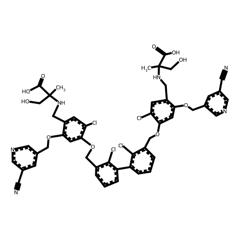 CC(CO)(NCc1cc(Cl)c(OCc2cccc(-c3cccc(COc4cc(OCc5cncc(C#N)c5)c(CNC(C)(CO)C(=O)O)cc4Cl)c3Cl)c2Cl)cc1OCc1cncc(C#N)c1)C(=O)O